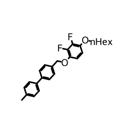 CCCCCCOc1ccc(OCc2ccc(-c3ccc(C)cc3)cc2)c(F)c1F